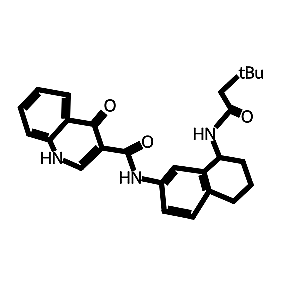 CC(C)(C)CC(=O)NC1CCCc2ccc(NC(=O)c3c[nH]c4ccccc4c3=O)cc21